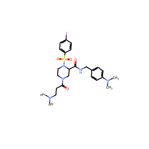 CCCN(CCC)CCC(=O)N1CCN(S(=O)(=O)c2ccc(I)cc2)C(C(=O)NCc2ccc(N(C)C)cc2)C1